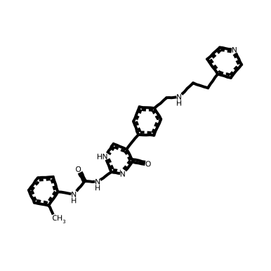 Cc1ccccc1NC(=O)Nc1nc(=O)c(-c2ccc(CNCCc3ccncc3)cc2)c[nH]1